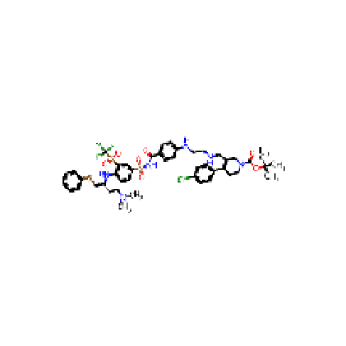 CN(C)CC[C@H](CSc1ccccc1)Nc1ccc(S(=O)(=O)NC(=O)c2ccc(NCCNCC3=C(c4ccc(Cl)cc4)CCN(C(=O)OC(C)(C)C)C3)cc2)cc1S(=O)(=O)C(F)(F)F